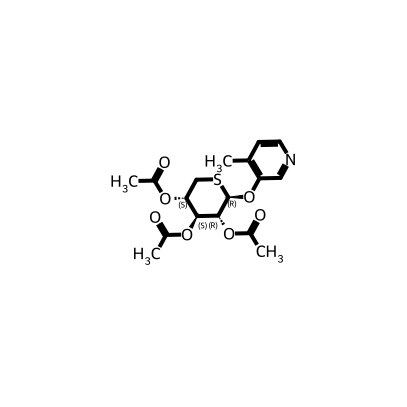 CC(=O)O[C@@H]1[C@@H](OC(C)=O)[C@H](OC(C)=O)CS[C@H]1Oc1cnccc1C